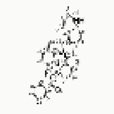 CC1=CC(C)(C)Nc2ccc(COc3cc(OC(=O)c4ccccc4)ccc3C)c(COc3cc(F)ccc3C)c21